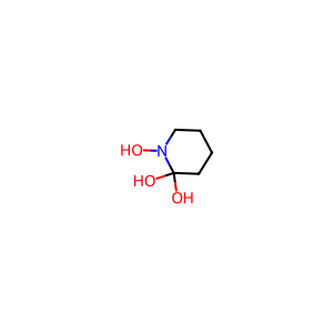 ON1CCCCC1(O)O